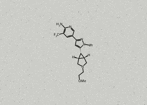 COCCN1C[C@@H]2[C@H](C1)[C@@H]2c1cc(-c2cnc(N)c(C(F)(F)F)c2)nn1C(C)C